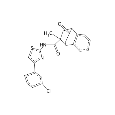 CC1(C(=O)Nc2nc(-c3cccc(Cl)c3)cs2)CC2C(=O)CC1c1ccccc12